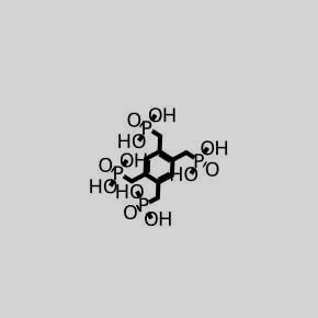 O=P(O)(O)Cc1cc(CP(=O)(O)O)c(CP(=O)(O)O)cc1CP(=O)(O)O